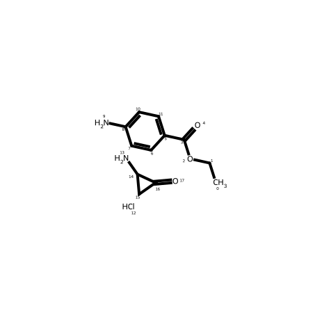 CCOC(=O)c1ccc(N)cc1.Cl.NC1CC1=O